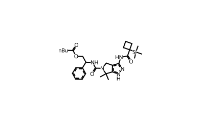 CCCCC(=O)OCC(NC(=O)N1Cc2c(NC(=O)C3([Si](C)(C)C)CCC3)n[nH]c2C1(C)C)c1ccccc1